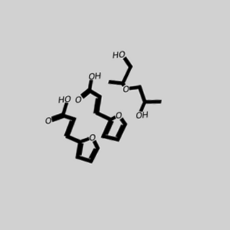 CC(O)COC(C)CO.O=C(O)C=Cc1ccco1.O=C(O)C=Cc1ccco1